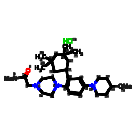 CNC(=O)CN1CCN(c2ccc(N3CCC(OC)CC3)cc2C2CC(C)(C)CC(C)(C)C2)CC1.Cl